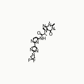 C=C1N(C)C(=O)c2c(ncn2[C@@H](C)C(=O)Nc2ccnc(-c3cnc(N4CC(F)(F)C4)nc3)n2)N1C